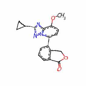 COc1ccc(-c2cccc3c2COC3=O)n2nc(C3CC3)nc12